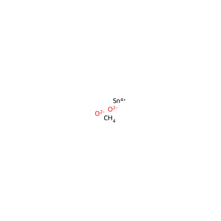 C.[O-2].[O-2].[Sn+4]